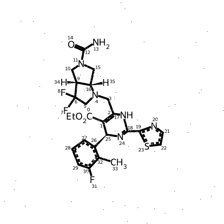 CCOC(=O)C1=C(CN2CC(F)(F)[C@@H]3CN(C(N)=O)C[C@@H]32)NC(c2nccs2)=N[C@H]1c1cccc(F)c1C